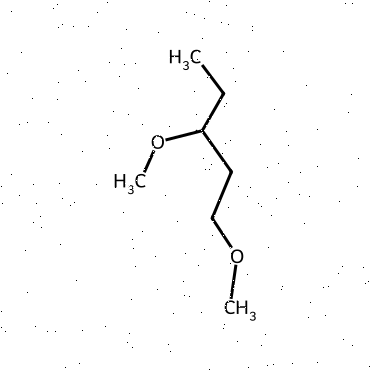 CC[C](CCOC)OC